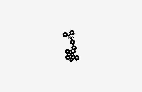 c1ccc(-c2nc(-c3ccc(-c4ccc5cc6c(cc5c4)C4(c5ccccc5-c5ccccc54)c4c-6c5ccccc5c5ccccc45)cc3)nc3ccccc23)cc1